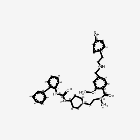 COc1cc(CNCCc2ccc(O)cc2)ccc1C(=O)N(C)CCN1CCC(OC(=O)Nc2ccccc2-c2ccccc2)CC1